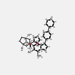 CC(=O)c1c([C@H]2C[C@H]3CC[C@@H](C2)N3C(=O)c2nnc[nH]2)nc2c(-c3ccc(-c4ccncc4)nc3)cnn2c1N